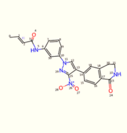 C/C=C/C(=O)Nc1cccc(-n2cc(-c3ccc4c(c3)CCNC4=O)c([N+](=O)[O-])n2)c1